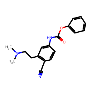 CN(C)CCc1cc(NC(=O)Oc2ccccc2)ccc1C#N